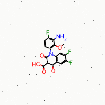 COc1c(N2C(=O)C(C(=O)O)C(=O)c3cc(F)c(F)cc32)ccc(F)c1N